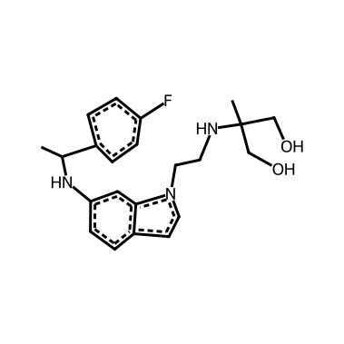 CC(Nc1ccc2ccn(CCNC(C)(CO)CO)c2c1)c1ccc(F)cc1